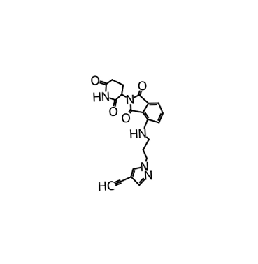 C#Cc1cnn(CCCNc2cccc3c2C(=O)N(C2CCC(=O)NC2=O)C3=O)c1